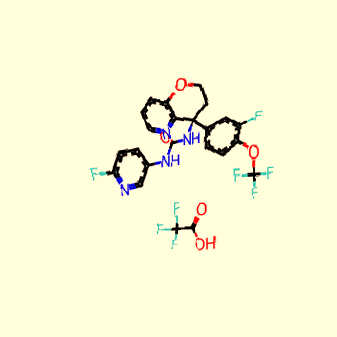 O=C(Nc1ccc(F)nc1)N[C@]1(c2ccc(OC(F)(F)F)c(F)c2)CCOc2cccnc21.O=C(O)C(F)(F)F